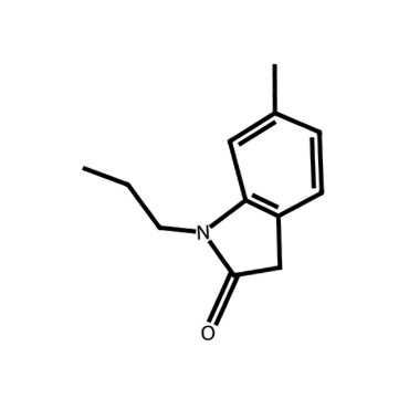 CCCN1C(=O)Cc2ccc(C)cc21